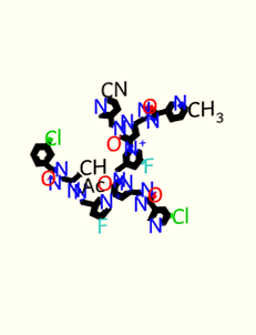 C#C/C(=N\N(Cc1cc(F)c[n+](-c2cc(-c3noc(-c4cncc(Cl)c4)n3)nn(Cc3cc(F)c[n+](-c4cc(-c5noc(-c6ccc(C)nc6)n5)nn(Cc5ccc(C#N)nc5)c4=O)c3)c2=O)c1)C(C)=O)c1noc(-c2cccc(Cl)c2)n1